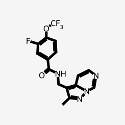 Cc1nn2cnccc2c1CNC(=O)c1ccc(OC(F)(F)F)c(F)c1